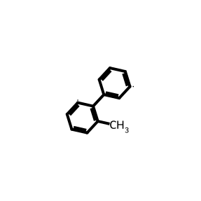 Cc1ccc[c]c1-c1c[c]ccc1